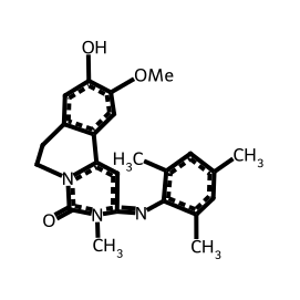 COc1cc2c(cc1O)CCn1c-2cc(=Nc2c(C)cc(C)cc2C)n(C)c1=O